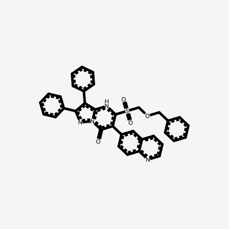 O=c1c(-c2ccc3ncccc3c2)c(S(=O)(=O)COCc2ccccc2)[nH]c2c(-c3ccccc3)c(-c3ccccc3)nn12